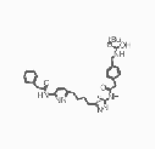 CC(C)(C)OC(O)NCc1ccc(CC(=O)Nc2nnc(CCCCc3ccc(NC(=O)Cc4ccccc4)nn3)s2)cc1